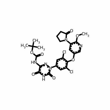 COc1ncc(Oc2c(Cl)cc(-n3nc(NC(=O)OC(C)(C)C)c(=O)[nH]c3=O)cc2Cl)cc1N1CCCC1=O